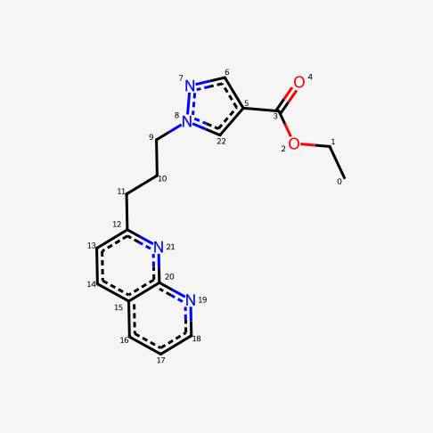 CCOC(=O)c1cnn(CCCc2ccc3cccnc3n2)c1